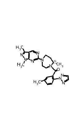 Cc1ccc(-n2nccn2)c(C(=O)N2CCN(c3ncc4c(C)nn(C)c4n3)CC[C@@H]2C)c1